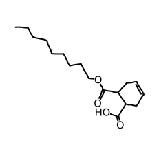 CCCCCCCCCOC(=O)C1CC=CCC1C(=O)O